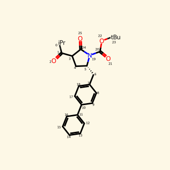 CC(C)C(=O)C1C[C@@H](Cc2ccc(-c3ccccc3)cc2)N(C(=O)OC(C)(C)C)C1=O